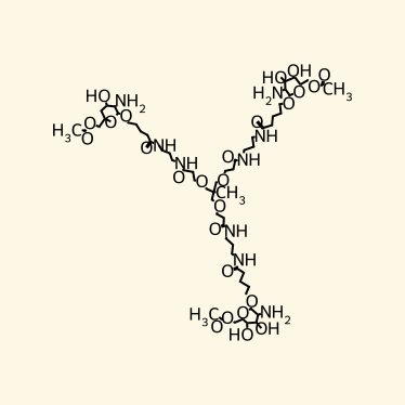 CC(=O)OCC1CC(O)C(N)C(OCCCCC(=O)NCCCNC(=O)CCOCC(C)(COCCC(=O)NCCCNC(=O)CCCCOC2OC(COC(C)=O)C(O)C(O)C2N)COCCC(=O)NCCCNC(=O)CCCCOC2OC(COC(C)=O)C(O)C(O)C2N)O1